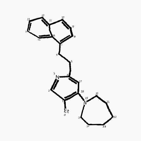 CCc1cnc(CCc2cccc3ccccc23)cc1N1CCCCCC1